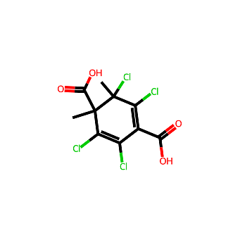 CC1(Cl)C(Cl)=C(C(=O)O)C(Cl)=C(Cl)C1(C)C(=O)O